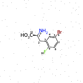 N[C@@H](Cc1cc(Br)ccc1F)C(=O)O